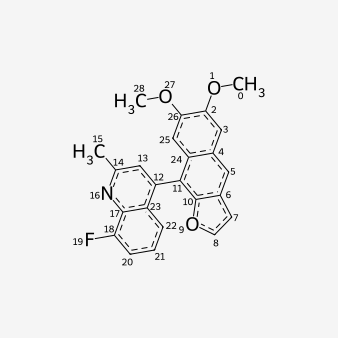 COc1cc2cc3ccoc3c(-c3cc(C)nc4c(F)cccc34)c2cc1OC